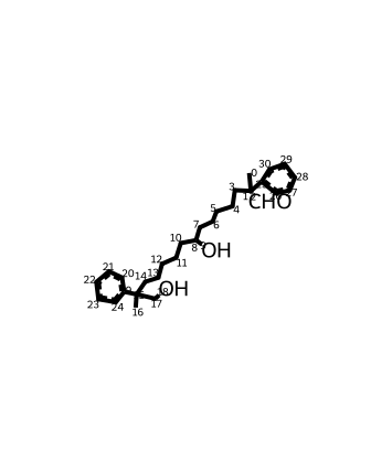 CC(C=O)(CCCCCC(O)CCCCCC(C)(CO)c1ccccc1)c1ccccc1